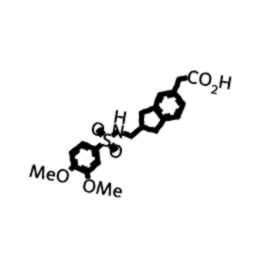 COc1ccc(S(=O)(=O)NCC2Cc3ccc(CC(=O)O)cc3C2)cc1OC